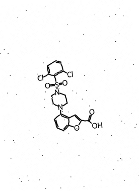 O=C(O)c1cc2c(N3CCN(S(=O)(=O)c4c(Cl)cccc4Cl)CC3)cccc2o1